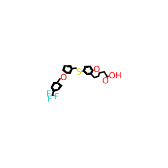 O=C(O)CC1CCc2cc(SCc3cccc(OCc4ccc(C(F)(F)F)cc4)c3)ccc2O1